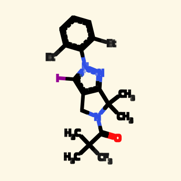 CCc1cccc(CC)c1-n1nc2c(c1I)CN(C(=O)C(C)(C)C(F)(F)F)C2(C)C